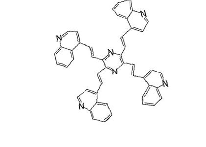 C(=Cc1ccnc2ccccc12)c1nc(C=Cc2ccnc3ccccc23)c(C=Cc2ccnc3ccccc23)nc1C=Cc1ccnc2ccccc12